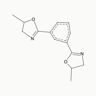 CC1CN=C(c2cccc(C3=NCC(C)O3)c2)O1